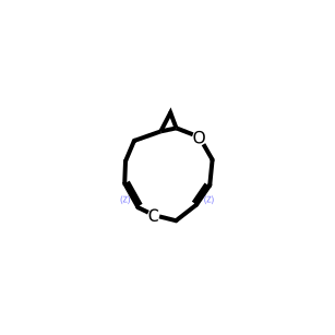 C1=C\CCC2CC2OC/C=C\CC/1